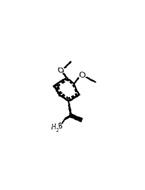 BC(=C)c1ccc(OC)c(OC)c1